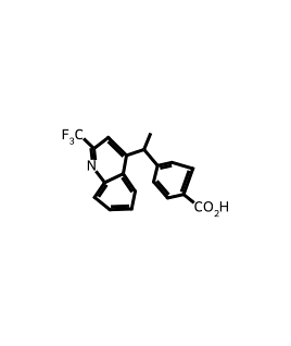 CC(c1ccc(C(=O)O)cc1)c1cc(C(F)(F)F)nc2ccccc12